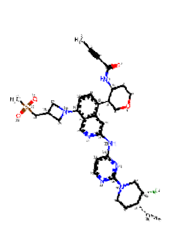 CC#CC(=O)N[C@H]1CCOC[C@H]1c1ccc(N2CC(CS(C)(=O)=O)C2)c2cnc(Nc3ccnc(N4CC[C@@H](OC)[C@@H](F)C4)n3)cc12